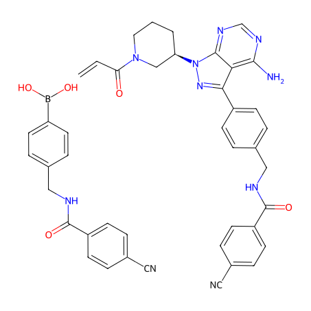 C=CC(=O)N1CCC[C@@H](n2nc(-c3ccc(CNC(=O)c4ccc(C#N)cc4)cc3)c3c(N)ncnc32)C1.N#Cc1ccc(C(=O)NCc2ccc(B(O)O)cc2)cc1